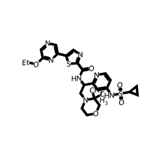 CCOc1cncc(-c2cnc(C(=O)NC(CN3CCOCC3(C)C)c3cc(NS(=O)(=O)C4CC4)ccn3)s2)n1